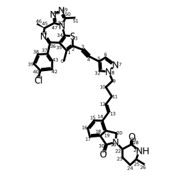 Cc1c(C#Cc2cnn(CCC/C=C/c3cccc4c3CN(C3CCC(C)NC3=O)C4=O)c2)sc2c1C(c1ccc(Cl)cc1)=N[C@@H](C)c1nnc(C)n1-2